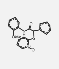 COc1ccccc1NC(=O)C(Sc1cccc[n+]1[O-])c1ccccc1